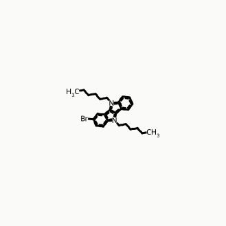 CCCCCCn1c2ccc(Br)cc2c2c1c1ccccc1n2CCCCCC